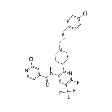 O=C(Nc1cc(C(F)(F)F)c(F)nc1C1CCN(CC=Cc2ccc(Cl)cc2)CC1)c1ccnc(Cl)c1